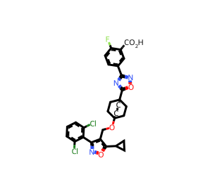 O=C(O)c1cc(-c2noc(C34CCC(OCc5c(-c6c(Cl)cccc6Cl)noc5C5CC5)(CC3)CC4)n2)ccc1F